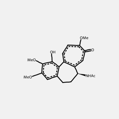 COc1cc2c(c(O)c1OC)-c1ccc(OC)c(=O)cc1[C@@H](NC(C)=O)CC2